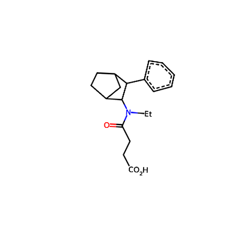 CCN(C(=O)CCC(=O)O)C1C2CCC(C2)C1c1ccccc1